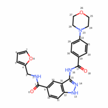 O=C(NCc1ccco1)c1ccc2[nH]nc(NC(=O)c3ccc(N4CCOCC4)cc3)c2c1